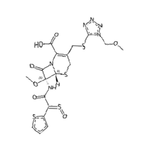 COCn1nnnc1SCC1=C(C(=O)O)N2C(=O)[C@](NC(=O)C(=S=O)c3cccs3)(OC)[C@H]2SC1